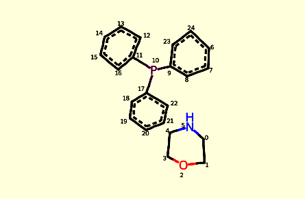 C1COCCN1.c1ccc(P(c2ccccc2)c2ccccc2)cc1